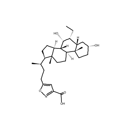 CC[C@H]1[C@@H](O)[C@@H]2[C@H](CC[C@]3(C)[C@@H]([C@H](C)CCc4cc(C(=O)O)no4)CC[C@@H]23)[C@@]2(C)CC[C@@H](O)C[C@@H]12